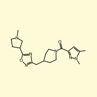 Cc1cc(C(=O)N2CCC(Cc3noc(C4CCN(C)C4)n3)CC2)nn1C